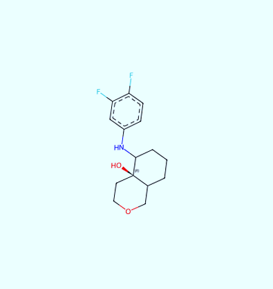 O[C@]12CCOCC1CCCC2Nc1ccc(F)c(F)c1